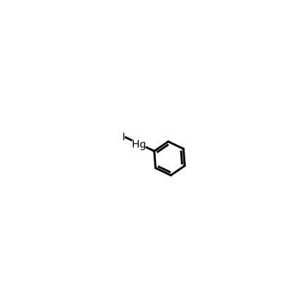 [I][Hg][c]1ccccc1